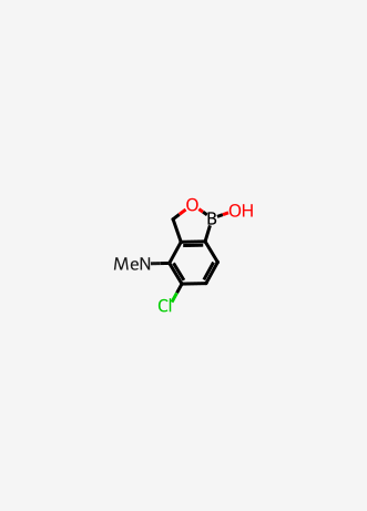 CNc1c(Cl)ccc2c1COB2O